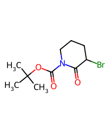 CC(C)(C)OC(=O)N1CCCC(Br)C1=O